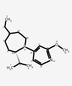 CCC1CC[C@@H](C(C)C)N(c2ccnc(OC)c2)CC1